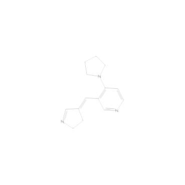 C1=NCC/C1=C\c1cnccc1N1CCCC1